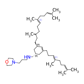 C=C(CC/C=C(\C)CCC=C(C)C)CC[C@H]1C=C(CC/C=C(\C)CCC=C(C)C)C[C@H](CNCCCN2CCOCC2)C1